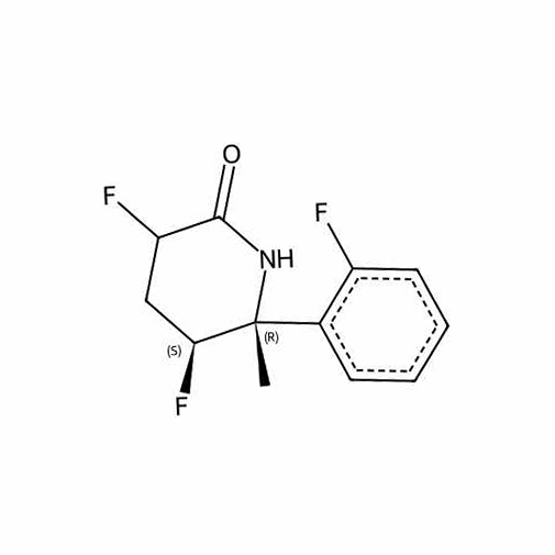 C[C@]1(c2ccccc2F)NC(=O)C(F)C[C@@H]1F